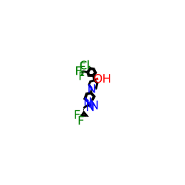 OC1(c2ccc(Cl)c(C(F)(F)F)c2)CCN(c2ccn3c(C[C@@H]4CC4(F)F)nnc3c2)CC1